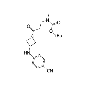 CN(CCC(=O)N1CC(Nc2ccc(C#N)cn2)C1)C(=O)OC(C)(C)C